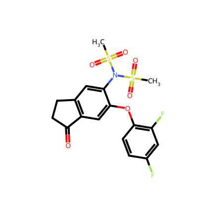 CS(=O)(=O)N(c1cc2c(cc1Oc1ccc(F)cc1F)C(=O)CC2)S(C)(=O)=O